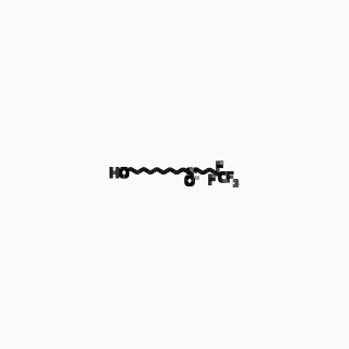 [O-][S+](CCCCCCCCCO)CCCC(F)(F)C(F)(F)F